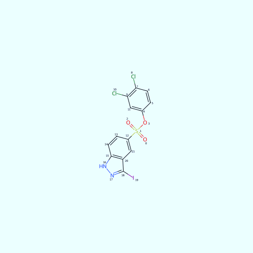 O=S(=O)(Oc1ccc(Cl)c(Cl)c1)c1ccc2[nH]nc(I)c2c1